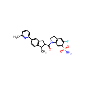 Cc1cccc(-c2ccc3c(c2)CC(C(=O)N2CCc4cc(F)c(S(N)(=O)=O)cc42)C3C)n1